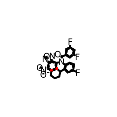 O=C(c1cc(F)cc(F)c1)N(c1ccc(F)cc1C1CCCCC1)c1ccc([N+](=O)[O-])c2nonc12